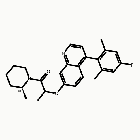 Cc1cc(F)cc(C)c1-c1ccnc2cc(OC(C)C(=O)N3CCCC[C@@H]3C)ccc12